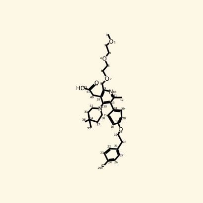 COCCOCCOCc1nc(C)c(-c2ccc(OCCc3ccc(F)cc3)cc2)c(N2CCC(C)(C)CC2)c1CC(=O)O